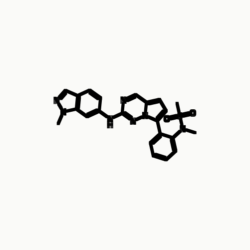 CN(c1ccccc1-c1ccc2cnc(Nc3ccc4cnn(C)c4c3)nn12)S(C)(=O)=O